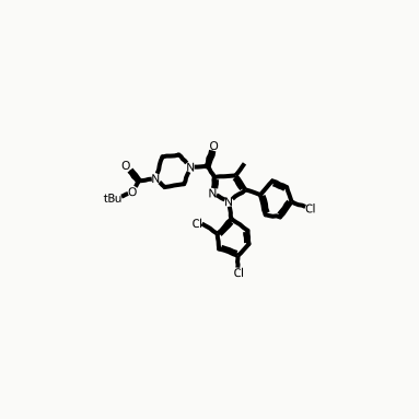 Cc1c(C(=O)N2CCN(C(=O)OC(C)(C)C)CC2)nn(-c2ccc(Cl)cc2Cl)c1-c1ccc(Cl)cc1